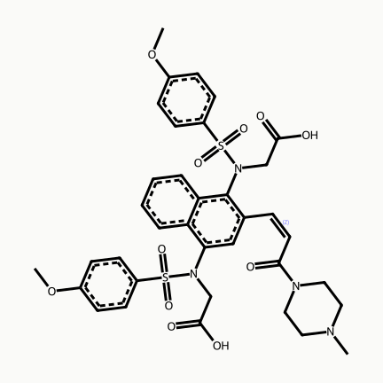 COc1ccc(S(=O)(=O)N(CC(=O)O)c2cc(/C=C\C(=O)N3CCN(C)CC3)c(N(CC(=O)O)S(=O)(=O)c3ccc(OC)cc3)c3ccccc23)cc1